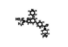 CN(C(=O)O)c1cc2cc(-c3ccc(C(=O)N4CCC(F)(F)CC4)cc3)cc(-c3ccncc3)c2o1